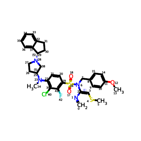 C=N/C(=C\SC)N(Cc1ccc(OC)cc1)S(=O)(=O)c1ccc(N(C)[C@H]2CCN([C@H]3CCc4ccccc43)C2)c(Cl)c1F